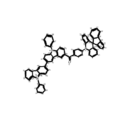 O=C(c1ccc(N2c3ccccc3C3(c4ccccc4-c4ccccc43)c3ccccc32)cc1)c1ccc2c(c1)c1cc(-c3ccc4c(c3)c3ccccc3n4-c3ccccc3)ccc1n2-c1ccccc1